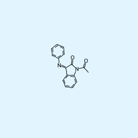 CC(=O)N1C(=O)/C(=N\c2ccccc2)c2ccccc21